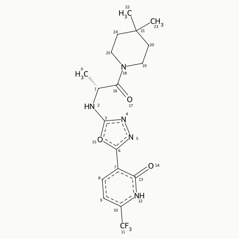 C[C@@H](Nc1nnc(-c2ccc(C(F)(F)F)[nH]c2=O)o1)C(=O)N1CCC(C)(C)CC1